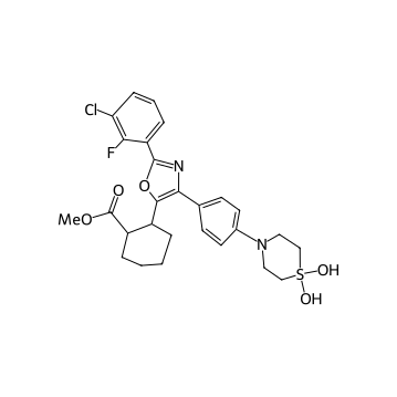 COC(=O)C1CCCCC1c1oc(-c2cccc(Cl)c2F)nc1-c1ccc(N2CCS(O)(O)CC2)cc1